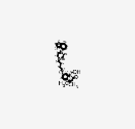 CC1(C)CC(=O)N(CO)c2cc(OCCCCN3CCN(c4cccc5sccc45)CC3)ccc21